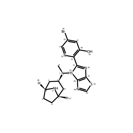 CN([C@@H]1C[C@H]2CC[C@@H](C1)N2)[SH]1C(c2ncc(Br)cc2O)=Nc2scnc21